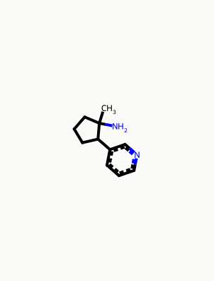 CC1(N)CCCC1c1cccnc1